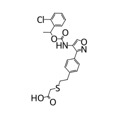 CC(OC(=O)Nc1conc1-c1ccc(CCSCC(=O)O)cc1)c1ccccc1Cl